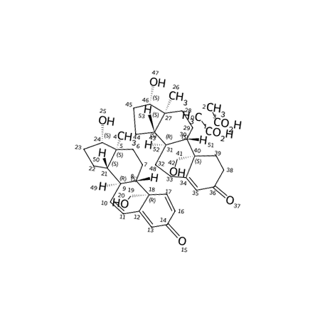 CC(=O)O.CC(=O)O.C[C@]12CC[C@H]3[C@@H](C=CC4=CC(=O)C=C[C@@]43CO)[C@@H]1CC[C@@H]2O.C[C@]12CC[C@H]3[C@@H](CCC4=CC(=O)CC[C@@]43CO)[C@@H]1CC[C@@H]2O